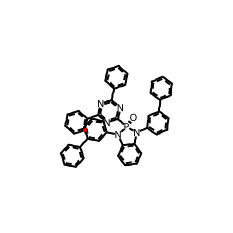 O=P1(c2nc(-c3ccccc3)nc(-c3ccccc3)n2)N(c2cccc(-c3ccccc3)c2)c2ccccc2N1c1cccc(-c2ccccc2)c1